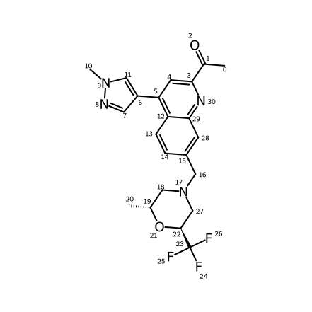 CC(=O)c1cc(-c2cnn(C)c2)c2ccc(CN3C[C@@H](C)O[C@H](C(F)(F)F)C3)cc2n1